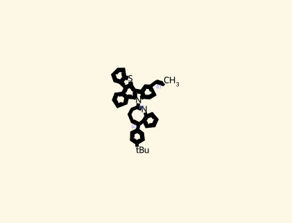 C/C=C/c1ccc2c(c1)c1c3sc4ccccc4c3c3ccccc3c1n2/C1=N/c2ccccc2/C(c2ccc(C(C)(C)C)cc2)=C\CC1